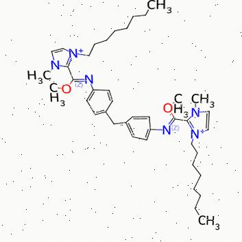 CCCCCCCC[n+]1ccn(C)c1/C(=N/c1ccc(Cc2ccc(/N=C(\OC)c3n(C)cc[n+]3CCCCCCCC)cc2)cc1)OC